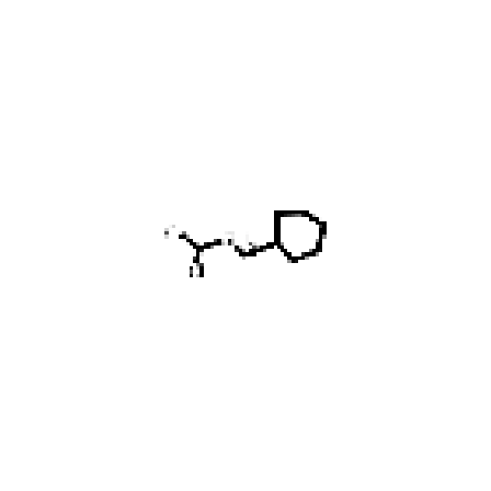 ClC(Cl)[SiH2]CC1CCCCC1